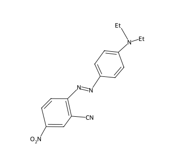 CCN(CC)c1ccc(N=Nc2ccc([N+](=O)[O-])cc2C#N)cc1